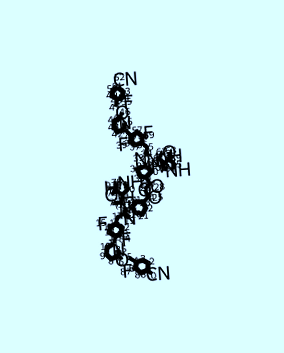 N#Cc1ccc(COc2cccc(-c3cc(F)c(Cc4nc5ccc(C(=O)OC(=O)c6ccc7nc(Cc8cc(F)c(-c9cccc(OCc%10ccc(C#N)cc%10F)n9)cc8F)n([C@@H]8CO[C@@H]9CNC[C@H]89)c7c6)cc5n4[C@@H]4CO[C@@H]5CNC[C@H]45)cc3F)n2)c(F)c1